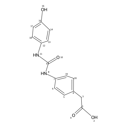 O=C(O)Cc1ccc(NC(=O)Nc2ccc(O)cc2)cc1